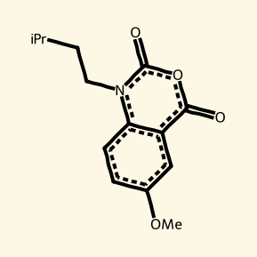 COc1ccc2c(c1)c(=O)oc(=O)n2CCC(C)C